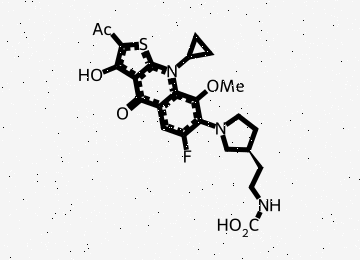 COc1c(N2CC[C@@H](CCNC(=O)O)C2)c(F)cc2c(=O)c3c(O)c(C(C)=O)sc3n(C3CC3)c12